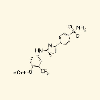 CCCCCCCCOc1ccc(Nc2nc(-c3ccc(S(N)(=O)=O)cc3)cs2)cc1C(F)(F)F